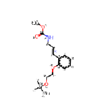 CC(C)(C)OC(=O)NC/C=C/c1ccccc1OCCO[Si](C)(C)C(C)(C)C